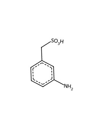 Nc1cccc(CS(=O)(=O)O)c1